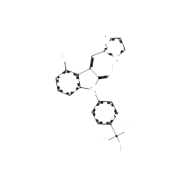 O=C1C(=Cc2ncc[nH]2)c2c(F)cccc2N1c1ccc(C(F)(F)F)cc1